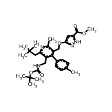 COC(=O)c1cc(OCc2c(C)nc(CC(C)(C)C)c(CNC(=O)OC(C)(C)C)c2-c2ccc(C)cc2)n[nH]1